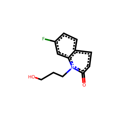 O=c1ccc2ccc(F)cc2n1CCCO